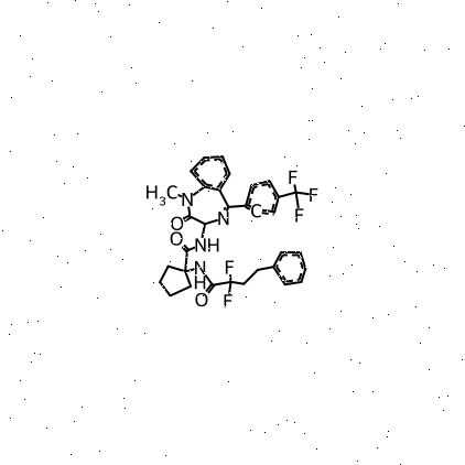 CN1C(=O)C(NC(=O)C2(NC(=O)C(F)(F)CCc3ccccc3)CCCC2)N=C(c2ccc(C(F)(F)F)cc2)c2ccccc21